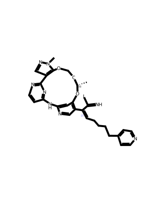 C[C@H]1CCOc2c(cnn2C)-c2nccc(n2)Nc2cc(c(/C(=C/CCCCc3ccncc3)C(=N)I)cn2)O1